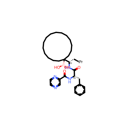 CC(C)C[C@H](NC(=O)[C@H](Cc1ccccc1)NC(=O)c1cnccn1)C1(B(O)O)CCCCCCCCCCCCCCC1